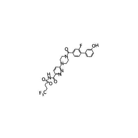 O=C(NS(=O)(=O)CCC(F)(F)F)c1ccc(N2CCN(C(=O)c3ccc(-c4cccc(O)c4)c(F)c3)CC2)nn1